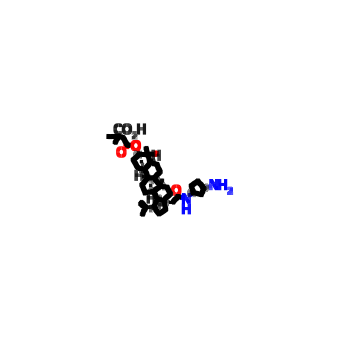 C=C(C)[C@@H]1CC[C@]2(CC(=O)N[C@H]3CC[C@H](N)C3)CC[C@]3(C)[C@H](CC[C@@H]4[C@@]5(C)CC[C@H](OC(=O)CC(C)(C)C(=O)O)C(C)(C)[C@@H]5CC[C@]43C)[C@@H]12